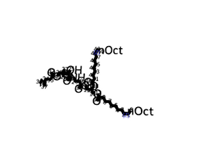 CCCCCCCC/C=C\CCCCCCCC(=O)OCC(COC(=O)CCNC(=O)C(O)C(C)(C)COC(=O)CCN(C)C)OC(=O)CCCCCCC/C=C\CCCCCCCC